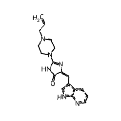 C=CCN1CCN(C2=NC(=Cc3c[nH]c4ncccc34)C(=O)N2)CC1